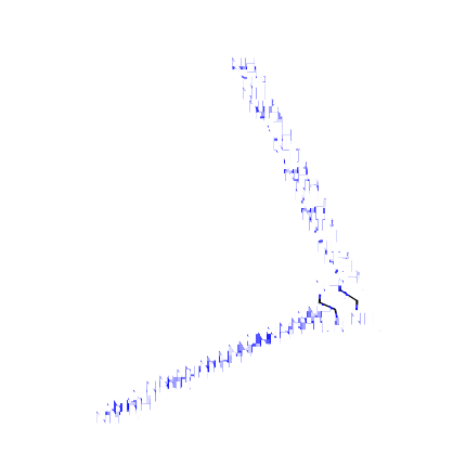 N.N.N.N.N.N.N.N.N.N.N.N.N.N.N.N.N.N.N.N.N.N.N.N.N.N.N.N.N.N.N.N.N.N.N.N.N.N.N.N.N.N.N.NCCN.NCCN